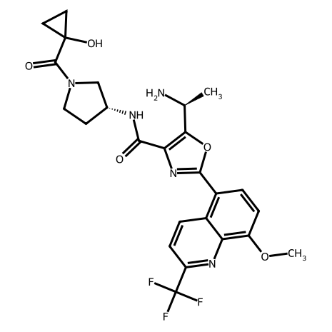 COc1ccc(-c2nc(C(=O)N[C@@H]3CCN(C(=O)C4(O)CC4)C3)c([C@H](C)N)o2)c2ccc(C(F)(F)F)nc12